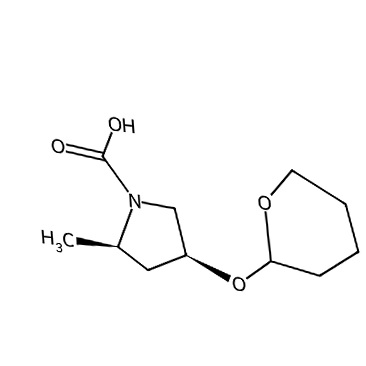 C[C@@H]1C[C@H](OC2CCCCO2)CN1C(=O)O